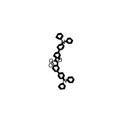 O=S1(=O)c2ccc(-c3ccc(N(c4ccccc4)c4ccccc4)cc3)cc2-c2oc3cc(-c4ccc(N(c5ccccc5)c5ccccc5)cc4)ccc3c21